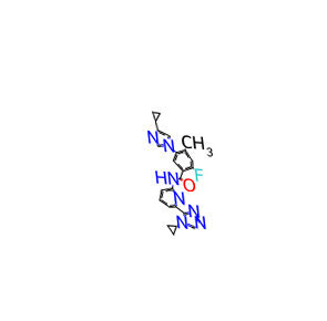 Cc1cc(F)c(C(=O)Nc2cccc(-c3nncn3C3CC3)n2)cc1-n1cnc(C2CC2)c1